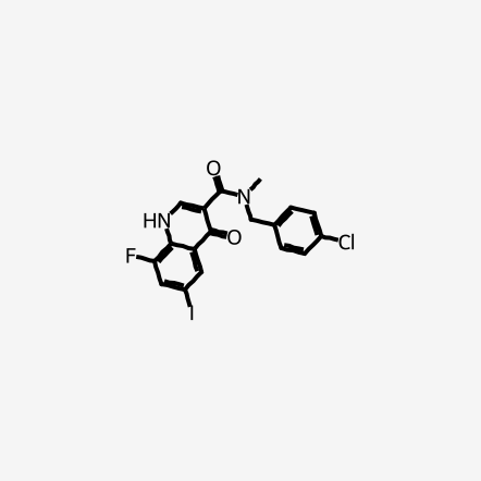 CN(Cc1ccc(Cl)cc1)C(=O)c1c[nH]c2c(F)cc(I)cc2c1=O